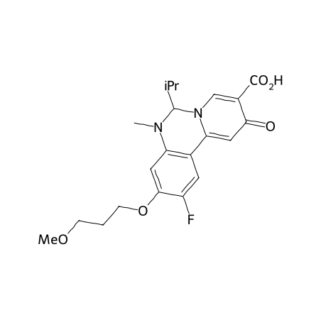 COCCCOc1cc2c(cc1F)-c1cc(=O)c(C(=O)O)cn1C(C(C)C)N2C